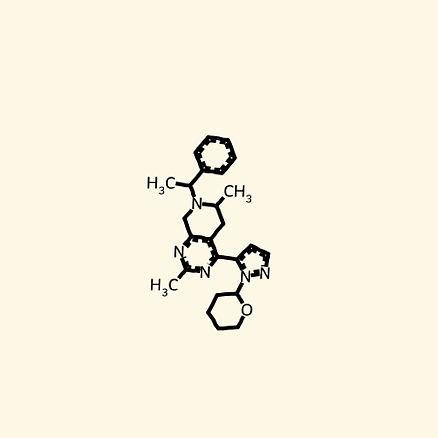 Cc1nc2c(c(-c3ccnn3C3CCCCO3)n1)CC(C)N(C(C)c1ccccc1)C2